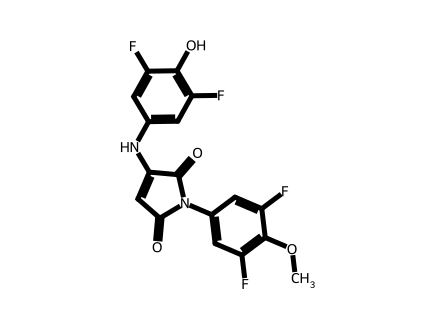 COc1c(F)cc(N2C(=O)C=C(Nc3cc(F)c(O)c(F)c3)C2=O)cc1F